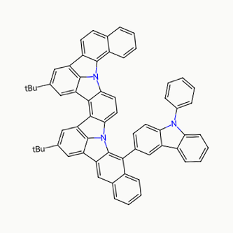 CC(C)(C)c1cc2c3cc4ccccc4c(-c4ccc5c(c4)c4ccccc4n5-c4ccccc4)c3n3c4ccc5c(c6cc(C(C)(C)C)cc7c8ccc9ccccc9c8n5c76)c4c(c1)c23